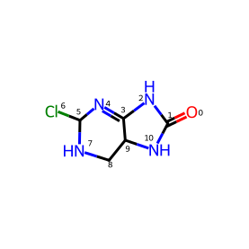 O=C1NC2=NC(Cl)NCC2N1